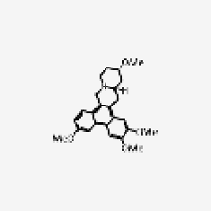 COc1ccc2c3c(c4cc(OC)c(OC)cc4c2c1)C[C@H]1C[C@@H](OC)CCN1C3